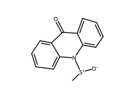 C[S+]([O-])n1c2ccccc2c(=O)c2ccccc21